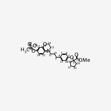 COC(=O)C1(Oc2ccc(CCCN3CCOc4cc(OS(C)(=O)=O)ccc43)cc2)CCCC1